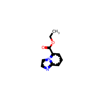 CCOC(=O)c1cccc2nccn12